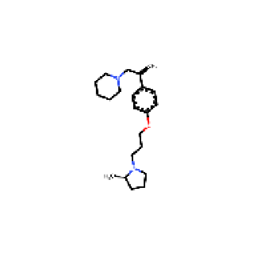 C=C(CN1CCCCC1)c1ccc(OCCCN2CCC[C@H]2C)cc1